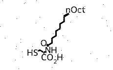 CCCCCCCCC=CCCCCCCCC(=O)N[C@@H](CS)C(=O)O